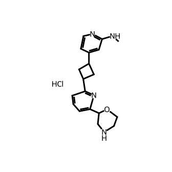 CNc1cc(C2CC(c3cccc(C4CNCCO4)n3)C2)ccn1.Cl